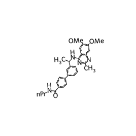 CCCNC(=O)c1ccc(-c2cccc([C@@H](C)Nc3nc(C)nc4cc(OC)c(OC)cc34)c2)cc1